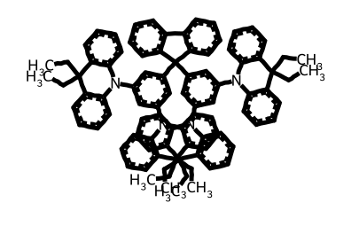 CCC1(CC)c2ccccc2N(c2cc(N3c4ccccc4C(CC)(CC)c4ccccc43)cc(C3(c4cc(N5c6ccccc6C(CC)(CC)c6ccccc65)cc(N5c6ccccc6C(CC)(CC)c6ccccc65)c4)c4ccccc4-c4ccccc43)c2)c2ccccc21